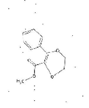 COC(=O)C1=C(c2ccccc2)OCCO1